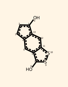 Oc1ccc2cc3c(O)ssc3cc12